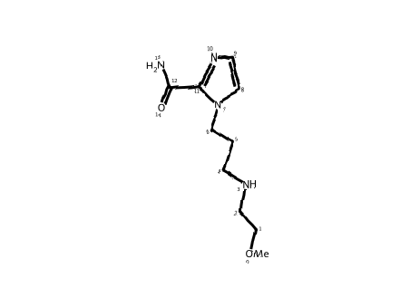 COCCNCCCn1c[c]nc1C(N)=O